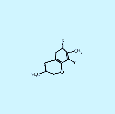 CC1=C(F)C2=C(CC(C)CO2)CC1F